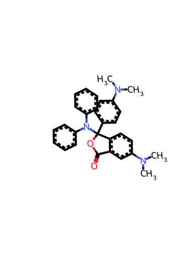 CN(C)c1ccc(C2(N(c3ccccc3)c3ccccc3)OC(=O)c3cc(N(C)C)ccc32)cc1